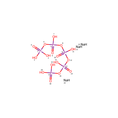 O=P(O)(O)OP(=O)(O)OP(=O)(O)OP(=O)(O)OP(=O)(O)O.[NaH].[NaH].[NaH]